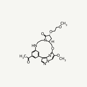 COCCO[C@@H]1C[C@H]2COc3nc4c(cnn4cc3OC)-c3cc(cc(C(C)=O)c3)NCCN2C1=O